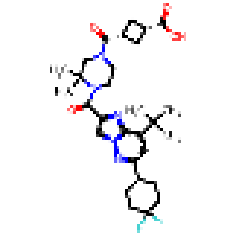 CC(C)(C)c1cc(C2CCC(F)(F)CC2)nn2cc(C(=O)N3CCN(C(=O)[C@H]4C[C@@H](C(=O)O)C4)CC3(C)C)nc12